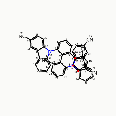 N#Cc1ccc(-c2cccc(-n3c4ccccc4c4cc(C#N)ccc43)c2-c2c(C#N)cccc2-n2c3ccccc3c3cc(C#N)ccc32)c(C(F)(F)F)c1